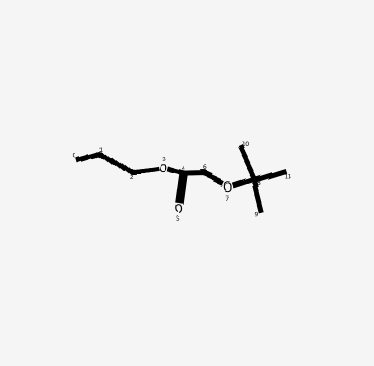 CCCOC(=O)COC(C)(C)C